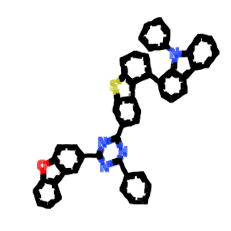 c1ccc(-c2nc(-c3ccc4c(c3)sc3cccc(-c5cccc6c7ccccc7n(-c7ccccc7)c56)c34)nc(-c3ccc4oc5ccccc5c4c3)n2)cc1